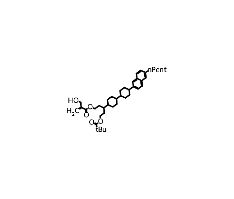 C=C(CO)C(=O)OCCC(CCOC(=O)C(C)(C)C)C1CCC(C2CCC(c3ccc4cc(CCCCC)ccc4c3)CC2)CC1